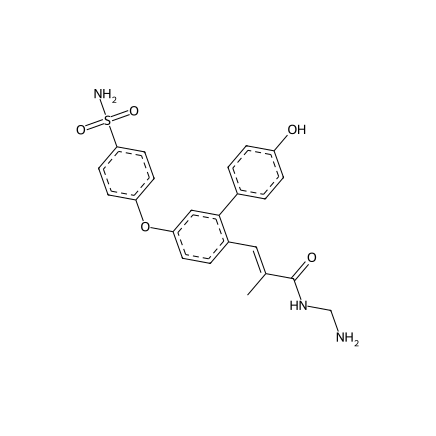 C/C(=C\c1ccc(Oc2ccc(S(N)(=O)=O)cc2)cc1-c1ccc(O)cc1)C(=O)NCN